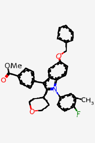 COC(=O)c1ccc(-c2c(C3CCOCC3)n(-c3ccc(F)c(C)c3)c3ccc(OCc4ccccc4)cc23)cc1